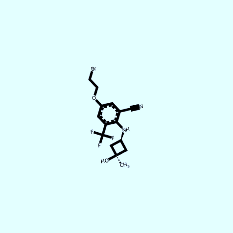 C[C@]1(O)C[C@@H](Nc2c(C#N)cc(OCCBr)cc2C(F)(F)F)C1